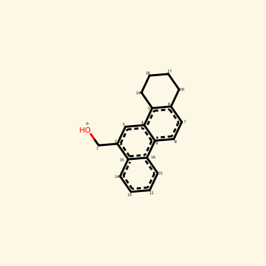 OCc1cc2c3c(ccc2c2ccccc12)CCCC3